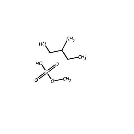 CCC(N)CO.COS(=O)(=O)O